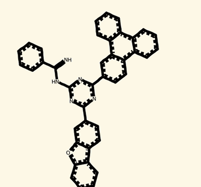 N=C(Nc1nc(-c2ccc3c(c2)oc2ccccc23)nc(-c2ccc3c4ccccc4c4ccccc4c3c2)n1)c1ccccc1